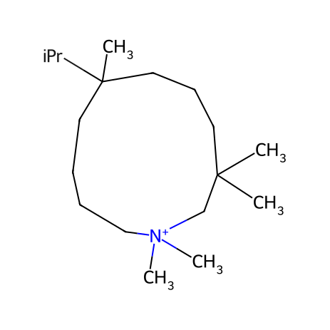 CC(C)C1(C)CCCC[N+](C)(C)CC(C)(C)CCC1